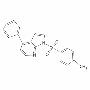 Cc1ccc(S(=O)(=O)n2ccc3c(-c4ccccc4)ccnc32)cc1